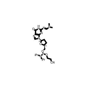 CC(C)N(C(C)C)P(OCCC#N)OC[C@@H]1CC[C@H](n2cnc3c(=O)[nH]c(N=CN(C)C)nc32)O1